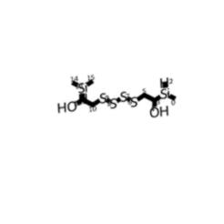 C[SiH](C)C(O)CSSSSCC(O)[SiH](C)C